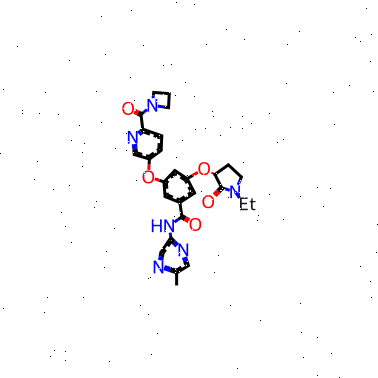 CCN1CC[C@@H](Oc2cc(Oc3ccc(C(=O)N4CCC4)nc3)cc(C(=O)Nc3cnc(C)cn3)c2)C1=O